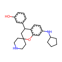 Oc1cccc(C2CC3(CCNCC3)Oc3cc(NC4CCCC4)ccc32)c1